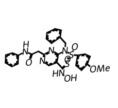 COc1ccc(S(=O)(=O)N(Cc2ccccc2)c2nc(CC(=O)Nc3ccccc3)ncc2C(=S)NO)cc1